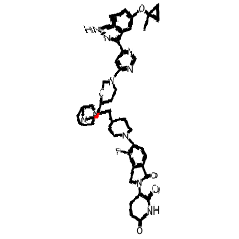 CC1(Oc2ccc3[nH]nc(-c4cc(N5CCC(CN6C7CC6CN(CC6CCN(c8ccc9c(c8F)CN(C8CCC(=O)NC8=O)C9=O)CC6)C7)CC5)ncn4)c3c2)CC1